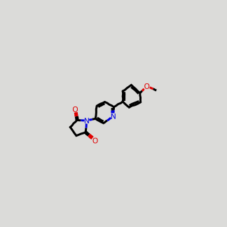 COc1ccc(-c2ccc(N3C(=O)CCC3=O)cn2)cc1